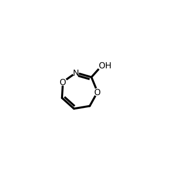 OC1=NOC=CCO1